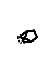 N[C@H]1C2CCC1SC2